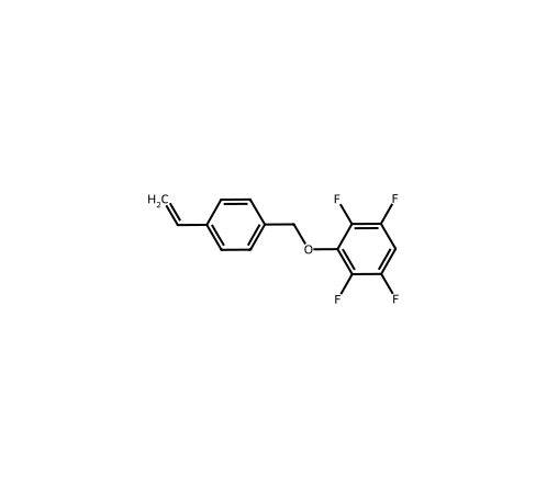 C=Cc1ccc(COc2c(F)c(F)cc(F)c2F)cc1